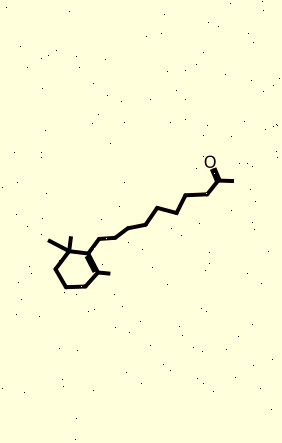 CC(=O)CCCCCCCCC1=C(C)CCCC1(C)C